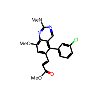 CNc1ncc2c(-c3cccc(Cl)c3)c(C=CC(=O)OC)cc(OC)c2n1